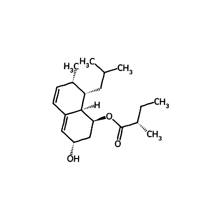 CC[C@H](C)C(=O)O[C@H]1C[C@H](O)C=C2C=C[C@H](C)[C@H](CC(C)C)[C@H]21